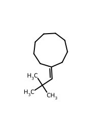 CC(C)(C)C=C1CCCCCCCC1